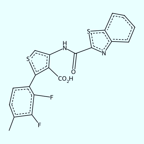 Cc1ccc(-c2scc(NC(=O)c3nc4ccccc4s3)c2C(=O)O)c(F)c1F